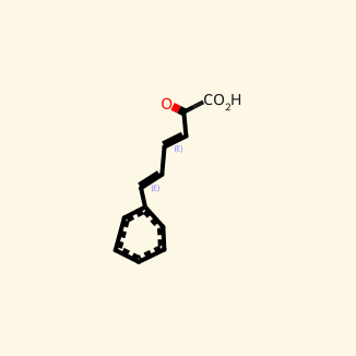 O=C(O)C(=O)/C=C/C=C/c1ccccc1